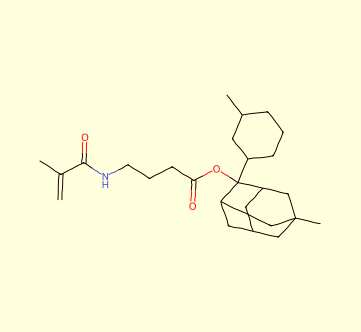 C=C(C)C(=O)NCCCC(=O)OC1(C2CCCC(C)C2)C2CC3CC1CC(C)(C3)C2